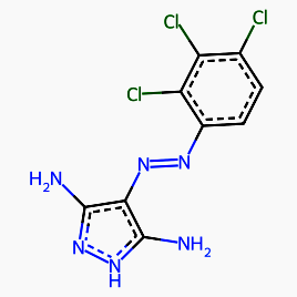 Nc1n[nH]c(N)c1N=Nc1ccc(Cl)c(Cl)c1Cl